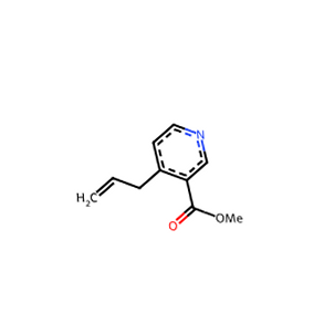 C=CCc1ccncc1C(=O)OC